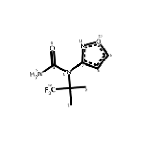 CC(C)(N(C(N)=O)c1ccon1)C(F)(F)F